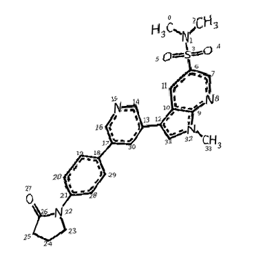 CN(C)S(=O)(=O)c1cnc2c(c1)c(-c1cncc(-c3ccc(N4CCCC4=O)cc3)c1)cn2C